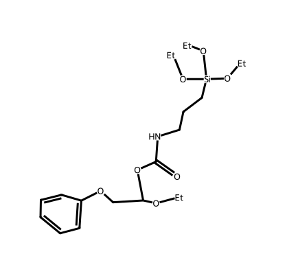 CCOC(COc1ccccc1)OC(=O)NCCC[Si](OCC)(OCC)OCC